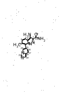 Cc1ccc2c(N)c(C(N)=O)nnc2c1-c1ccc2cncn2c1